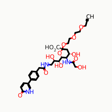 C#CCOCCOCCO[C@]1(C(=O)O)C[C@H](O)[C@@H](NC(=O)CO)[C@H]([C@H](O)[C@H](O)CNC(=O)Cc2ccc(-c3ccc(=O)[nH]c3)cc2)O1